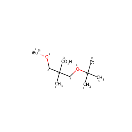 CC[C@@H](C)OCC(C)(COC(C)(C)CC)C(=O)O